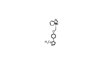 Cn1nccc1-c1ccc(OC[C@@H]2CN3C=NC4=CC=CCC43O2)cc1